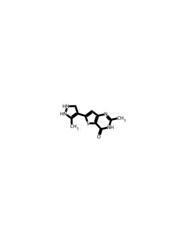 CC1=C(c2cc3nc(C)[nH]c(=O)c3s2)CNN1